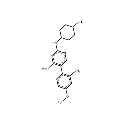 COc1nc(NC2CCC(C)CC2)ncc1-c1ccc(OC(F)(F)F)cc1C